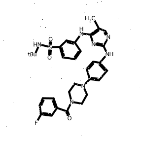 Cc1cnc(Nc2ccc(N3CCN(C(=O)c4cccc(F)c4)CC3)cc2)nc1Nc1cccc(S(=O)(=O)NC(C)(C)C)c1